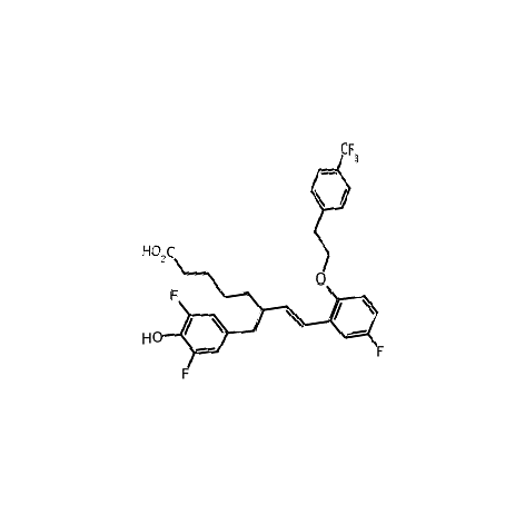 O=C(O)CCCCC(/C=C/c1cc(F)ccc1OCCc1ccc(C(F)(F)F)cc1)Cc1cc(F)c(O)c(F)c1